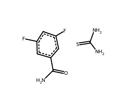 NC(=O)c1cc(F)cc(F)c1.NC(N)=S